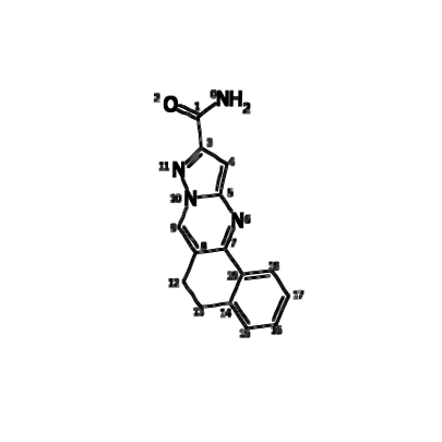 NC(=O)c1cc2nc3c(cn2n1)CCc1ccccc1-3